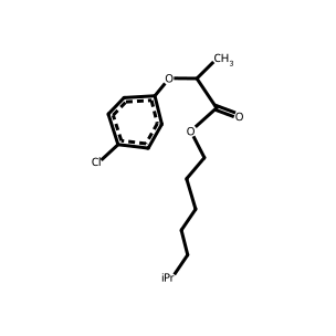 CC(C)CCCCCOC(=O)C(C)Oc1ccc(Cl)cc1